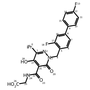 CC(C)c1nn(Cc2ccc(-c3ccc(F)cc3)cc2F)c(=O)c(C(=O)NCC(=O)O)c1O